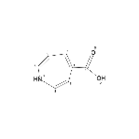 O=C(O)C1=CC=CNC=C1